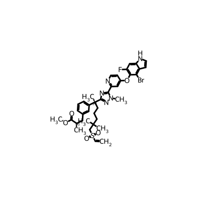 C=CS(=O)(=O)CC(C)(C)CCC[C@](C)(c1cccc(C[C@@H](C)C(=O)OC)c1)c1nc(-c2cc(Oc3c(F)cc4[nH]ccc4c3Br)ccn2)n(C)n1